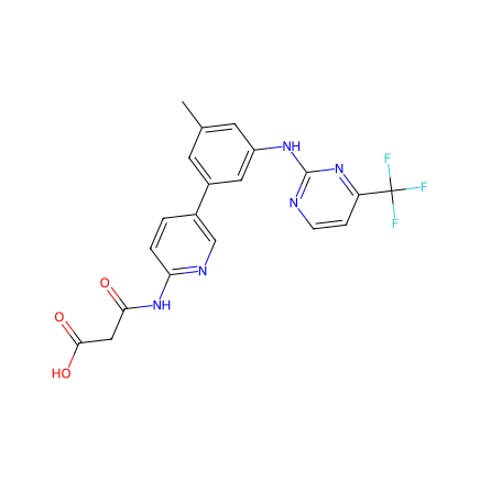 Cc1cc(Nc2nccc(C(F)(F)F)n2)cc(-c2ccc(NC(=O)CC(=O)O)nc2)c1